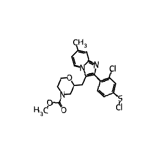 COC(=O)N1CCOC(Cc2c(-c3ccc(SCl)cc3Cl)nc3cc(C)ccn23)C1